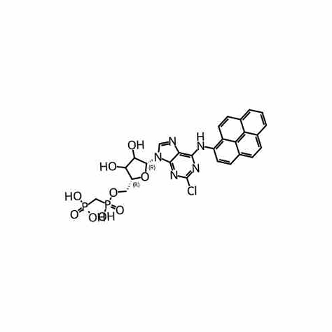 O=P(O)(O)CP(=O)(O)OC[C@H]1O[C@@H](n2cnc3c(Nc4ccc5ccc6cccc7ccc4c5c67)nc(Cl)nc32)C(O)C1O